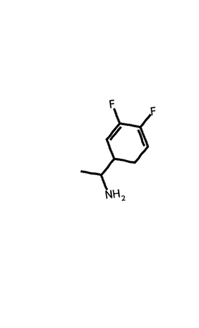 CC(N)C1C=C(F)C(F)=CC1